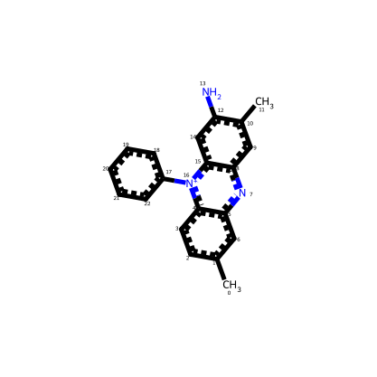 Cc1ccc2c(c1)nc1cc(C)c(N)cc1[n+]2-c1ccccc1